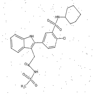 CS(=O)(=O)NC(=O)Cc1c(-c2ccc(Cl)c(S(=O)(=O)NC3CCCCC3)c2)[nH]c2ccccc12